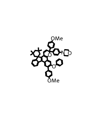 COc1ccc(-c2cc3c4c(c5c(c3cc2Oc2ccccc2)OC(c2ccc(OC)cc2)(c2ccc(N3CCOCC3)cc2)C=C5)C2(CC(C)(C)CC(C)(C)C2)c2ccccc2-4)cc1